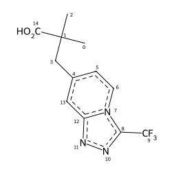 CC(C)(Cc1ccn2c(C(F)(F)F)nnc2c1)C(=O)O